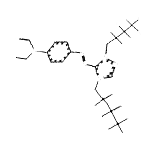 CCN(CC)c1ccc(/N=N/c2n(CC(F)(F)C(F)(F)C(F)(F)F)nc[n+]2CC(F)(F)C(F)(F)C(F)(F)F)cc1